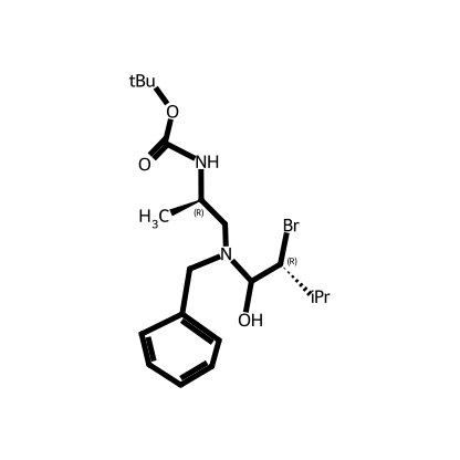 CC(C)[C@@H](Br)C(O)N(Cc1ccccc1)C[C@@H](C)NC(=O)OC(C)(C)C